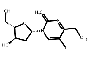 C=C1N=C(CC)C(I)=CN1[C@@H]1C[C@@H](O)[C@H](CO)O1